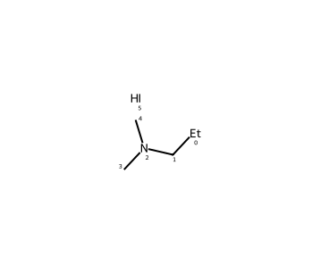 CCCN(C)C.I